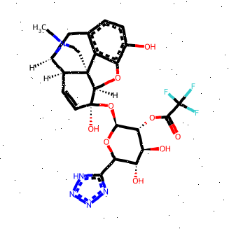 CN1CC[C@]23c4c5ccc(O)c4O[C@H]2[C@@](O)(O[C@@H]2OC(c4nnn[nH]4)[C@@H](O)[C@H](O)[C@H]2OC(=O)C(F)(F)F)C=C[C@H]3[C@H]1C5